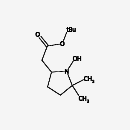 CC(C)(C)OC(=O)CC1CCC(C)(C)N1O